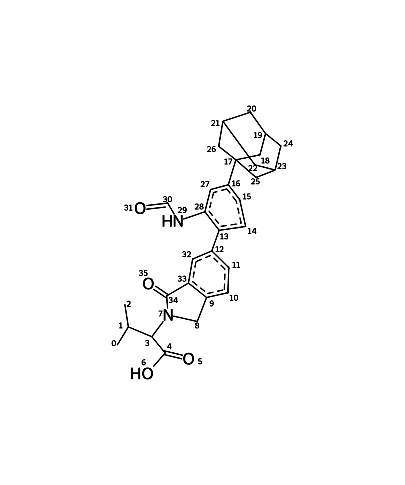 CC(C)C(C(=O)O)N1Cc2ccc(-c3ccc(C45CC6CC(CC(C6)C4)C5)cc3NC=O)cc2C1=O